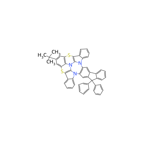 CC(C)(C)c1cc2sc3c4ccccc4n4c5cc6c(cc5n5c7ccccc7c7sc(c1)c2n(c34)c75)C(c1ccccc1)(c1ccccc1)c1ccccc1-6